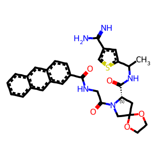 CC(NC(=O)[C@@H]1CC2(CN1C(=O)CNC(=O)c1ccc3cc4ccccc4cc3c1)OCCO2)c1cc(C(=N)N)cs1